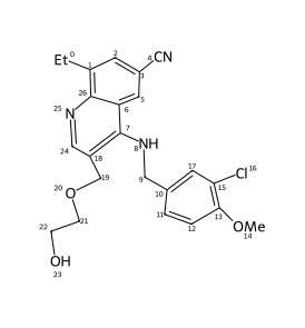 CCc1cc(C#N)cc2c(NCc3ccc(OC)c(Cl)c3)c(COCCO)cnc12